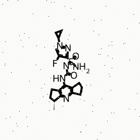 C[C@@H]1CCc2c1nc1c(c2NC(=O)N=S(N)(=O)c2nn(C3CC3)cc2F)CCC1